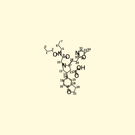 CCCON(CCC)C(=O)CN1C[C@H](c2ccc3c(c2)CCO3)[C@@H](C(=O)O)[C@@H]1CCc1ncc(C)o1